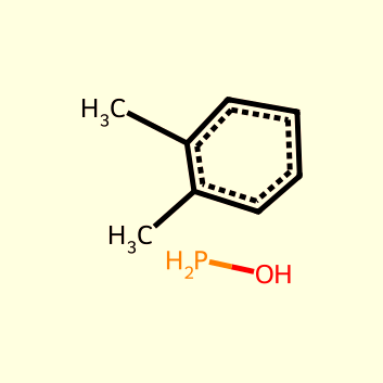 Cc1ccccc1C.OP